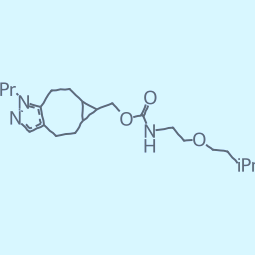 CC(C)CCOCCNC(=O)OCC1C2CCc3cnn(C(C)C)c3CCC21